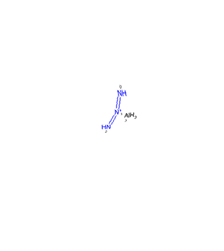 N=[N+]=N.[AlH3]